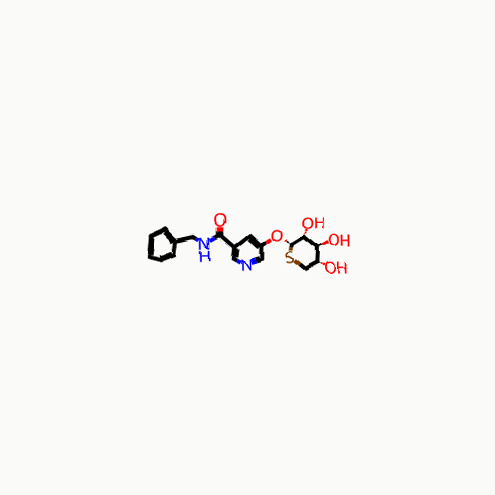 O=C(NCc1ccccc1)c1cncc(O[C@H]2SC[C@@H](O)[C@H](O)[C@H]2O)c1